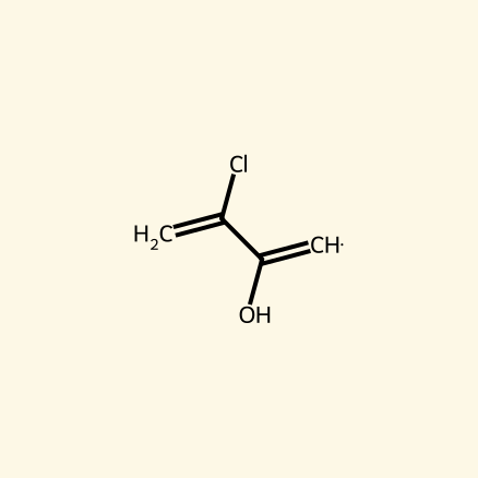 [CH]=C(O)C(=C)Cl